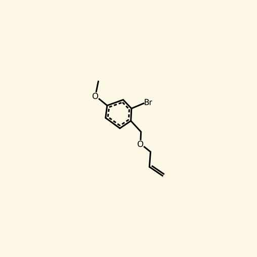 C=CCOCc1ccc(OC)cc1Br